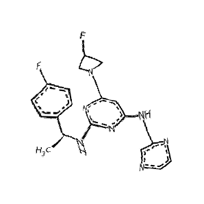 C[C@H](Nc1nc(Nc2cnccn2)cc(N2CC(F)C2)n1)c1ccc(F)cc1